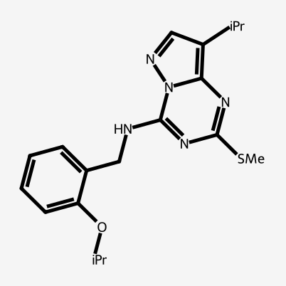 CSc1nc(NCc2ccccc2OC(C)C)n2ncc(C(C)C)c2n1